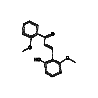 COc1ccccc1C(=O)C=Cc1c(O)cccc1OC